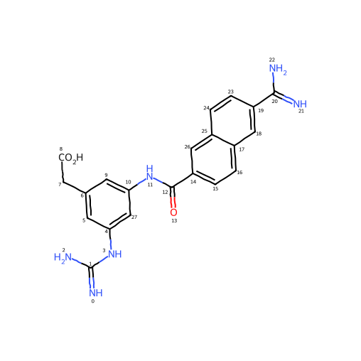 N=C(N)Nc1cc(CC(=O)O)cc(NC(=O)c2ccc3cc(C(=N)N)ccc3c2)c1